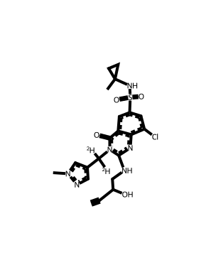 [2H]C([2H])(c1cnn(C)c1)n1c(NCC(O)C#C)nc2c(Cl)cc(S(=O)(=O)NC3(C)CC3)cc2c1=O